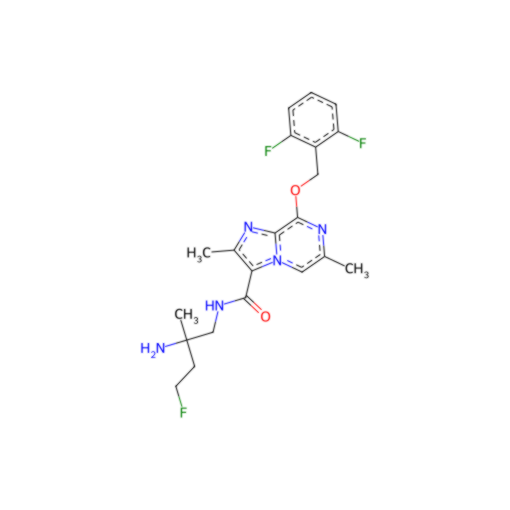 Cc1cn2c(C(=O)NCC(C)(N)CCF)c(C)nc2c(OCc2c(F)cccc2F)n1